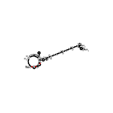 CO[C@H]1C[C@@H]2CCC[C@@](O)(O2)C(=O)C(=O)N2CCCC[C@H]2C(=O)O[C@H]([C@H](N)C[C@@H]2CC[C@H](n3cc(COC(=O)NCCOCCOCCOCCC(=O)NCCOCCOCCC(=O)NCCCCn4nc(-c5ccc6oc(N)nc6c5)c5c(N)ncnc54)nn3)[C@H](OC)C2)C/C(=N/OCc2ccccc2)[C@H](C)/C=C(\C)[C@@H](O)[C@@H](O)C(=O)[C@H](C)C[C@H](C)/C=C/C=C/C=C/1C